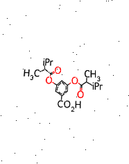 CC(C)C(C)C(=O)Oc1cc(OC(=O)C(C)C(C)C)cc(C(=O)O)c1